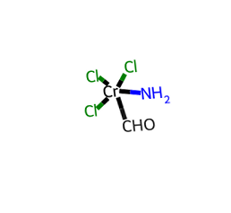 [NH2][Cr]([Cl])([Cl])([Cl])[CH]=O